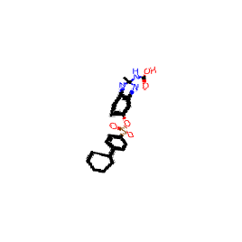 CC1(NC(=O)O)N=c2ccc(OS(=O)(=O)c3ccc(C4CCCCC4)cc3)cc2=N1